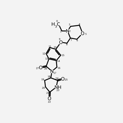 CCN1CCOCC1COc1ccc2c(c1)CN(C1CCC(=O)NC1=O)C2=O